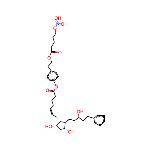 O=C(CCCCON(O)O)OCCc1ccc(OC(=O)CCC/C=C\C[C@@H]2[C@@H](CC[C@@H](O)CCc3ccccc3)[C@H](O)C[C@@H]2O)cc1